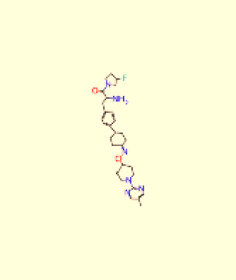 Cc1cnc(N2CCC(ON=C3CCC(c4ccc(CC(N)C(=O)N5CCC(F)C5)cc4)CC3)CC2)nc1